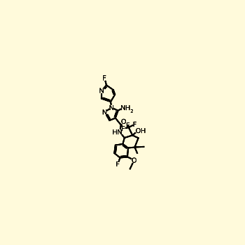 COc1c(F)ccc2c1C(C)(C)CC(O)(C(F)(F)F)C2NC(=O)c1cnn(-c2ccc(F)nc2)c1N